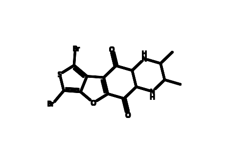 CC1NC2C(=O)c3oc4c(Br)sc(Br)c4c3C(=O)C2NC1C